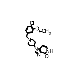 CCOc1cc(CN2CCC(n3cnc4c(=O)[nH]ccc43)CC2)ccc1Cl